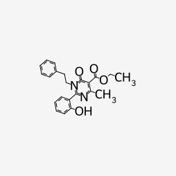 CCOC(=O)c1c(C)nc(-c2ccccc2O)n(CCc2ccccc2)c1=O